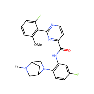 CCN1CC2CC1CN2c1ccc(F)cc1NC(=O)c1ccnc(-c2c(F)cccc2OC)n1